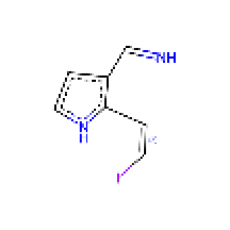 N=Cc1cc[nH]c1/C=C\I